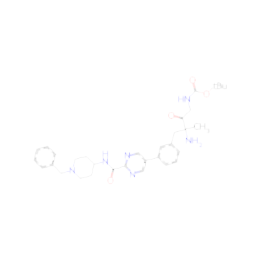 CC(C)(C)OC(=O)NCC(=O)C(C)(N)Cc1cccc(-c2cnc(C(=O)NC3CCN(Cc4ccccc4)CC3)nc2)c1